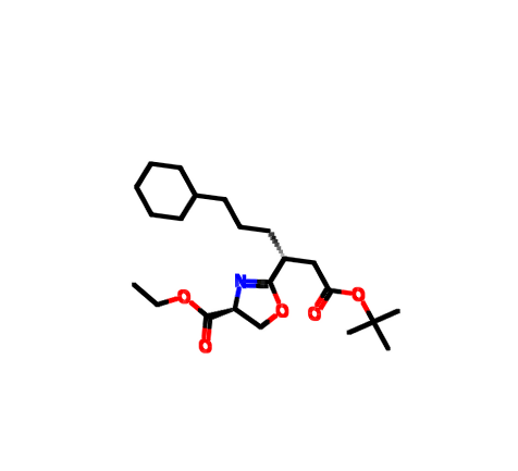 CCOC(=O)[C@@H]1COC([C@H](CCCC2CCCCC2)CC(=O)OC(C)(C)C)=N1